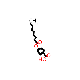 CCCCCCCCC(=O)Oc1ccc(C(=O)O)cc1